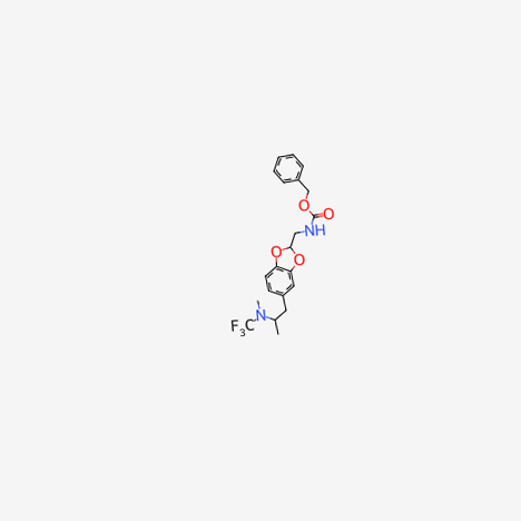 CC(Cc1ccc2c(c1)OC(CNC(=O)OCc1ccccc1)O2)N(C)C(F)(F)F